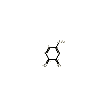 CC(C)(C)C1=CC(=O)C(=O)C=C1